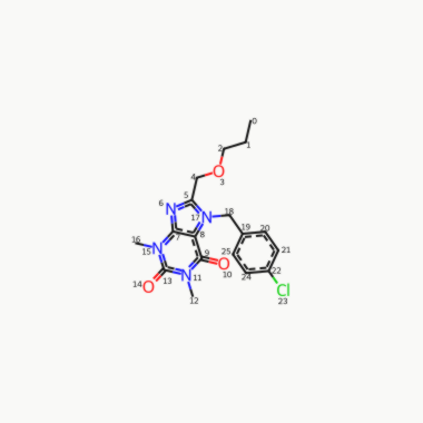 CCCOCc1nc2c(c(=O)n(C)c(=O)n2C)n1Cc1ccc(Cl)cc1